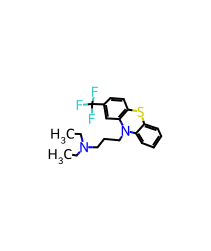 CCN(CC)CCCN1c2ccccc2Sc2ccc(C(F)(F)F)cc21